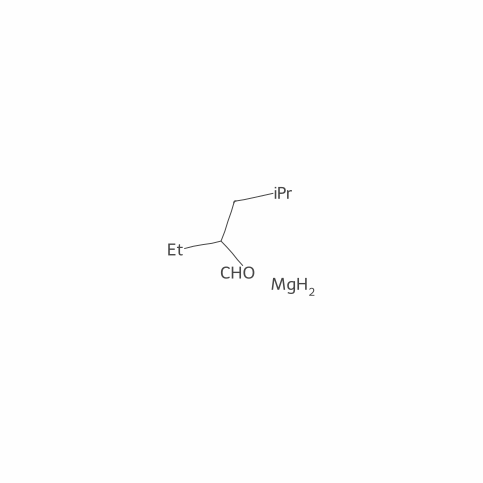 CCC(C=O)CC(C)C.[MgH2]